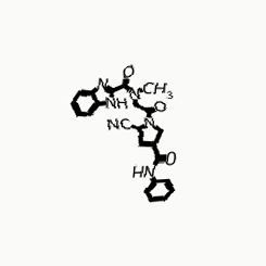 CN(CC(=O)N1CC(C(=O)Nc2ccccc2)CC1C#N)C(=O)c1nc2ccccc2[nH]1